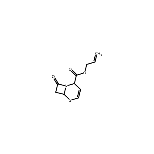 C=CCOC(=O)C1C=CSC2CC(=O)N21